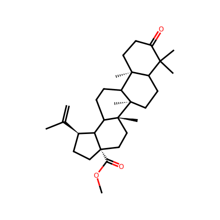 C=C(C)[C@@H]1CC[C@]2(C(=O)OC)CC[C@]3(C)C(CCC4[C@@]5(C)CCC(=O)C(C)(C)C5CC[C@]43C)C12